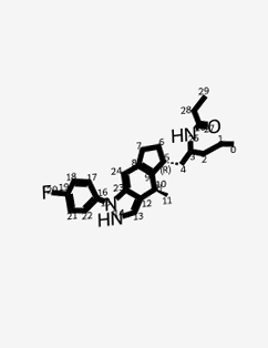 CCCC(C[C@H]1CCC2=C1[C@@H](C)C1=CNN(c3ccc(F)cc3)C1=C2)NC(=O)CC